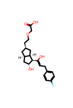 O=C(O)COCC[C@@H]1C[C@@H]2C[C@@H](O)[C@H](C(O)=CCc3ccc(F)cc3)[C@@H]2C1